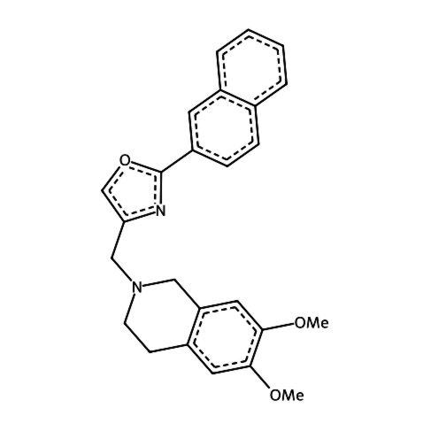 COc1cc2c(cc1OC)CN(Cc1coc(-c3ccc4ccccc4c3)n1)CC2